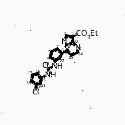 CCOC(=O)c1cnn2c(-c3cccc(NC(=O)Nc4cccc(Cl)c4)c3)ccnc12